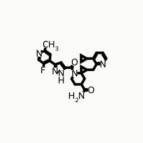 Cc1cc(-c2cc(C(=O)N3CCC(C(N)=O)CC34CC4Cc3ncccc3C3CC3)[nH]n2)c(F)cn1